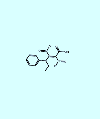 CCC(/C(=C(/C(=O)O)[N+](=O)[O-])[N+](=O)[O-])c1ccccc1